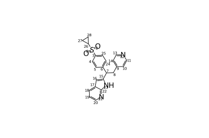 O=S(=O)(c1ccc(C(Cc2ccncc2)c2cc3cccnc3[nH]2)cc1)C1CC1